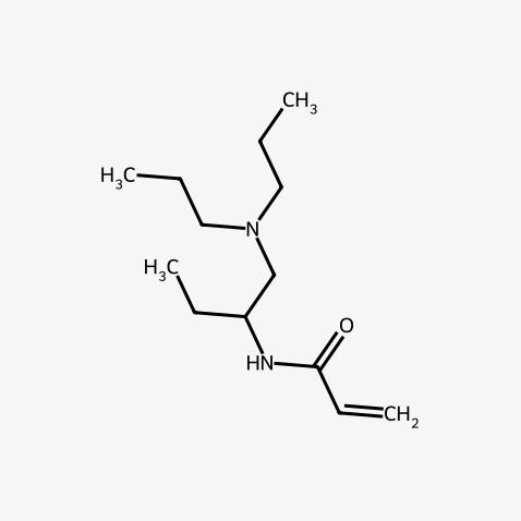 C=CC(=O)NC(CC)CN(CCC)CCC